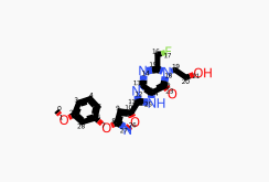 COc1cccc(Oc2cc(-c3nc4nc(CF)n(CCO)c(=O)c4[nH]3)on2)c1